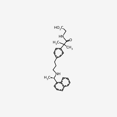 C[C@@H](NCCCc1ccc(C(C)(C)C(=O)NCC(=O)O)cc1)c1cccc2ccccc12